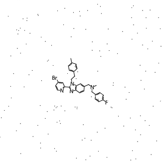 Cc1ccc(CCn2c(-c3cc(Br)ccn3)nc3ccc(CN(C)Cc4ccc(F)cc4)cc32)cc1